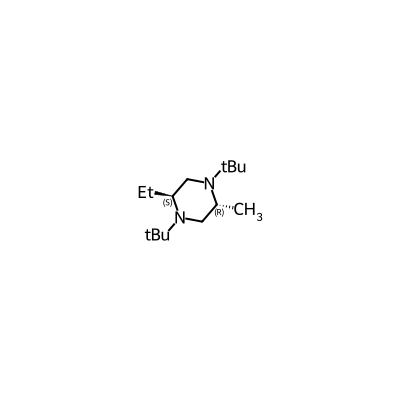 CC[C@H]1CN(C(C)(C)C)[C@H](C)CN1C(C)(C)C